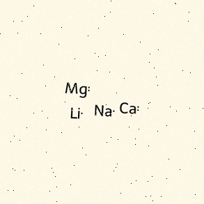 [Ca].[Li].[Mg].[Na]